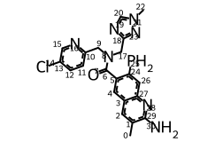 Cc1cc2cc(C(=O)N(Cc3ccc(Cl)cn3)Cc3ncn(C)n3)c(P)cc2nc1N